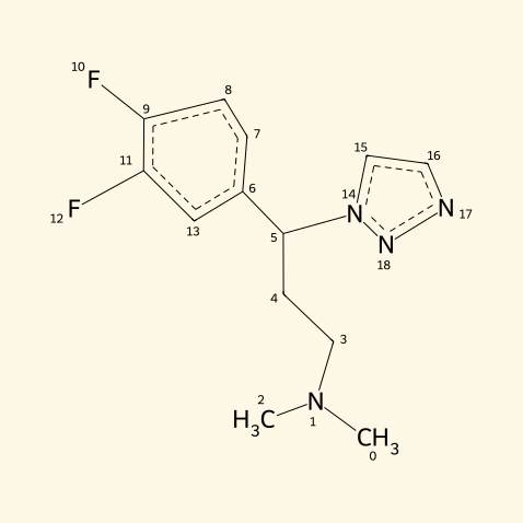 CN(C)CCC(c1ccc(F)c(F)c1)n1ccnn1